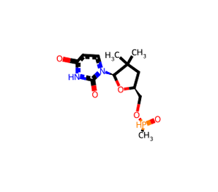 C[PH](=O)OC[C@@H]1CC(C)(C)[C@H](n2ccc(=O)[nH]c2=O)O1